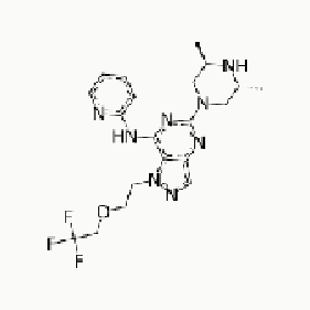 C[C@@H]1CN(c2nc(Nc3ccccn3)c3c(cnn3CCOCC(F)(F)F)n2)C[C@@H](C)N1